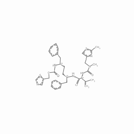 C=C(C)[C@H](NC(=O)N(C)Cc1csc(C)n1)C(=O)N[C@H](CC[C@H](Cc1ccccc1)NC(=O)OCc1cncs1)Cc1ccccc1